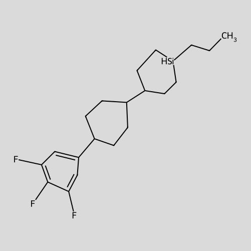 CCC[SiH]1CCC(C2CCC(c3cc(F)c(F)c(F)c3)CC2)CC1